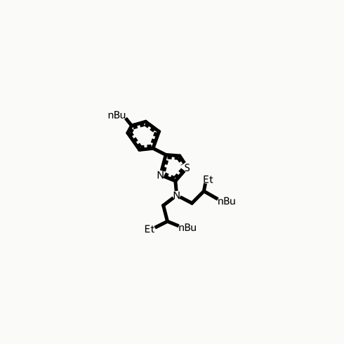 CCCCc1ccc(-c2csc(N(CC(CC)CCCC)CC(CC)CCCC)n2)cc1